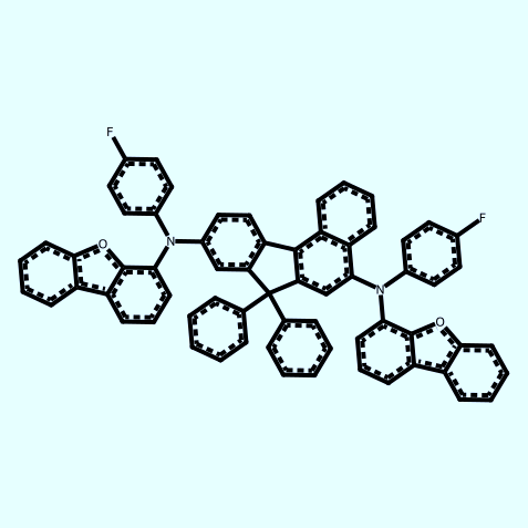 Fc1ccc(N(c2ccc3c(c2)C(c2ccccc2)(c2ccccc2)c2cc(N(c4ccc(F)cc4)c4cccc5c4oc4ccccc45)c4ccccc4c2-3)c2cccc3c2oc2ccccc23)cc1